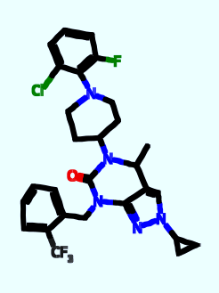 CC1c2cn(C3CC3)nc2N(Cc2ccccc2C(F)(F)F)C(=O)N1C1CCN(c2c(F)cccc2Cl)CC1